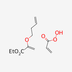 C=CC(=O)OO.C=CCCOC(=C)C(=O)OCC